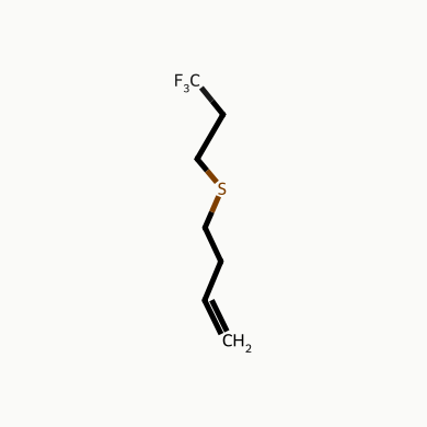 C=CCCSCCC(F)(F)F